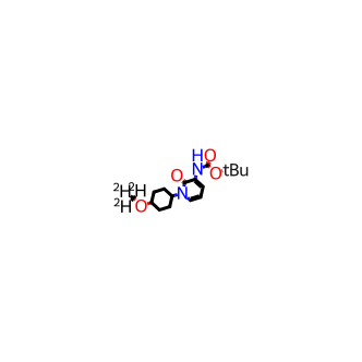 [2H]C([2H])([2H])OC1CCC(n2cccc(NC(=O)OC(C)(C)C)c2=O)CC1